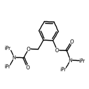 CC(C)N(C(=O)OCc1ccccc1OC(=O)N(C(C)C)C(C)C)C(C)C